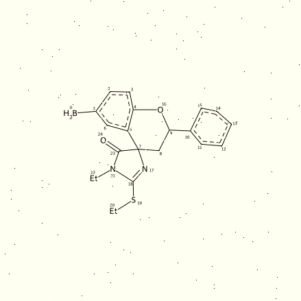 Bc1ccc2c(c1)C1(CC(c3ccccc3)O2)N=C(SCC)N(CC)C1=O